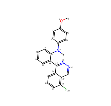 COc1ccc(N(C)c2ccccc2-c2nncc3c(F)cccc23)cc1